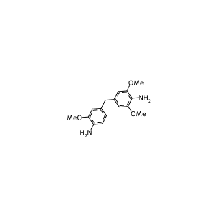 COc1cc(Cc2cc(OC)c(N)c(OC)c2)ccc1N